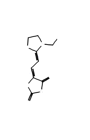 CCN1CCS/C1=C\C=C1\SC(=S)NC1=O